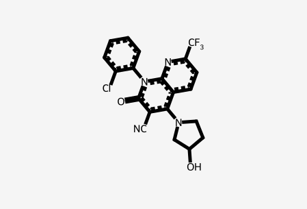 N#Cc1c(N2CCC(O)C2)c2ccc(C(F)(F)F)nc2n(-c2ccccc2Cl)c1=O